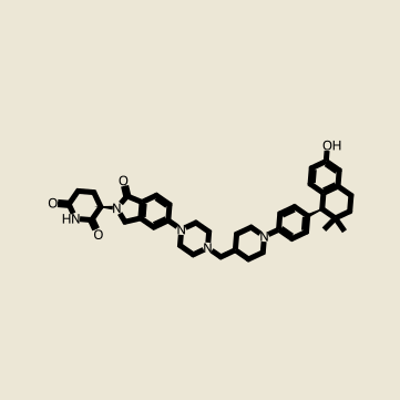 CC1(C)CCc2cc(O)ccc2[C@@H]1c1ccc(N2CCC(CN3CCN(c4ccc5c(c4)CN([C@@H]4CCC(=O)NC4=O)C5=O)CC3)CC2)cc1